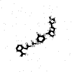 C=C(F)c1ccccc1CC(=O)NC(=S)Nc1ccc(Oc2ccnc3cc(-c4cn(C)cn4)sc23)c(F)c1